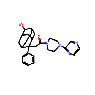 O=C(CC1(c2ccccc2)C2CC3CC1CC(C2)C3O)N1CCN(c2cnccn2)CC1